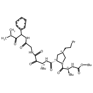 CCCC[C@@H](NC(=O)[C@@H]1C[C@@H](CCC(C)C)CN1C(=O)[C@@H](NC(=O)OC(C)(C)C)C(C)(C)C)C(=O)C(=O)NCC(=O)NC(C(=O)N(C)C)c1ccccc1